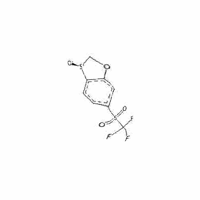 O=S(=O)(c1ccc2c(c1)OC[S@+]2[O-])C(F)(F)F